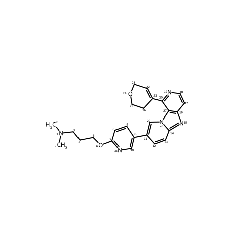 CN(C)CCCOc1ccc(-c2ccc3nc4ccnc(C5=CCOCC5)c4n3c2)cn1